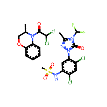 CC1COc2ccccc2N1C(=O)C(Cl)Cl.Cc1nn(-c2cc(NS(C)(=O)=O)c(Cl)cc2Cl)c(=O)n1C(F)F